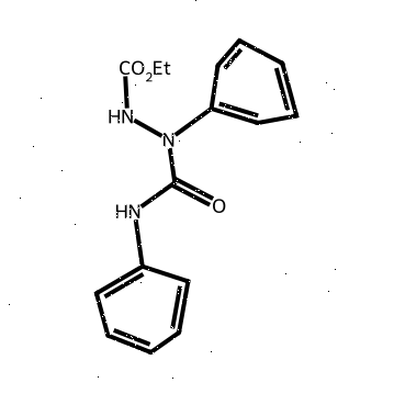 CCOC(=O)NN(C(=O)Nc1ccccc1)c1ccccc1